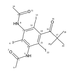 CC(=O)Nc1c(I)c(NC(C)=O)c(I)c(C(=O)C(C)(C)C)c1I